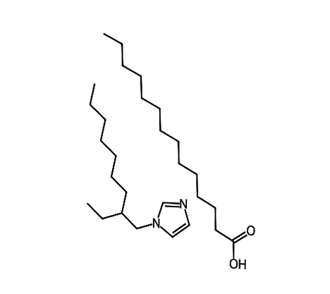 CCCCCCCC(CC)Cn1ccnc1.CCCCCCCCCCCCCC(=O)O